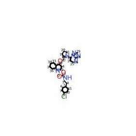 O=C(NCCc1ccc(Cl)cc1)Oc1cc(OC[C@H]2CCCN2c2ccnc3ncnn23)c2ccccc2n1